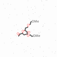 COCCOCCC(OC(CCOCCOC)C1CO1)C1CO1